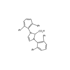 CC(C)c1cccc(C(C)C)c1N1C=CN(c2c(C(C)C)cccc2C(C)C)C1C(=O)O